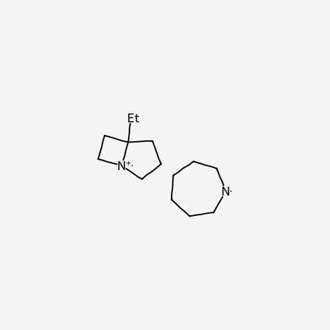 C1CCC[N]CC1.CCC12CCC[N+]1CC2